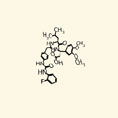 COc1ccc([C@H](CC(=O)O)NC(=O)[C@H](CC(C)C)NC(=O)Cc2ccc(NC(=O)Nc3ccccc3F)cc2)cc1OC